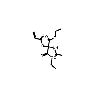 C=CC(=O)OC(NC(C)=O)(C(=O)OCC)C(=O)OCC